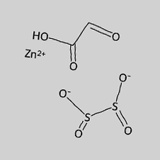 O=CC(=O)O.O=S([O-])S(=O)[O-].[Zn+2]